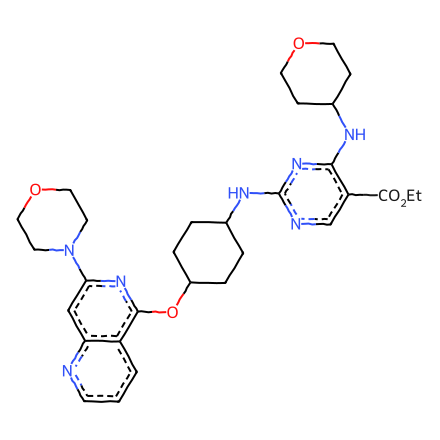 CCOC(=O)c1cnc(NC2CCC(Oc3nc(N4CCOCC4)cc4ncccc34)CC2)nc1NC1CCOCC1